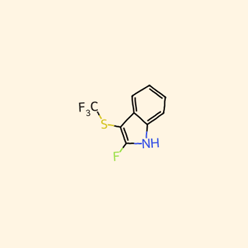 Fc1[nH]c2ccccc2c1SC(F)(F)F